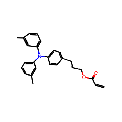 C=CC(=O)OCCCc1ccc(N(c2cccc(C)c2)c2cccc(C)c2)cc1